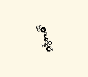 O=C(Nc1cccnc1)N1CC(COc2cccc(OC(F)(F)F)c2)C1